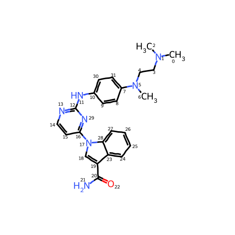 CN(C)CCN(C)c1ccc(Nc2nccc(-n3cc(C(N)=O)c4ccccc43)n2)cc1